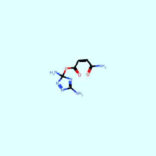 NC(=O)/C=C\C(=O)OC1(N)N=NC(N)=N1